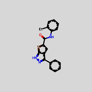 CCc1ccccc1NC(=O)c1cc2c(-c3ccccc3)n[nH]c2s1